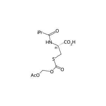 CC(=O)OCOC(=O)SC[C@H](NC(=O)C(C)C)C(=O)O